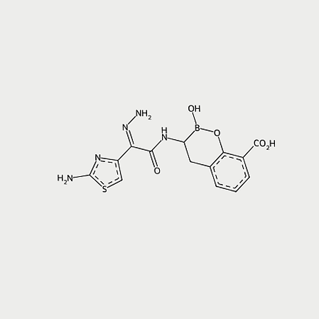 NN=C(C(=O)NC1Cc2cccc(C(=O)O)c2OB1O)c1csc(N)n1